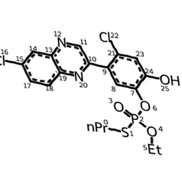 CCCSP(=O)(OCC)Oc1cc(-c2cnc3cc(Cl)ccc3n2)c(Cl)cc1O